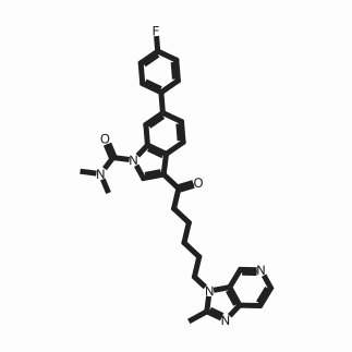 Cc1nc2ccncc2n1CCCCCC(=O)c1cn(C(=O)N(C)C)c2cc(-c3ccc(F)cc3)ccc12